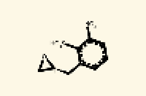 O=[N+]([O-])c1cccc(C[C@H]2CO2)c1S(=O)(=O)O